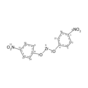 O=[N+]([O-])c1ccc([O][Zr][O]c2ccc([N+](=O)[O-])cc2)cc1